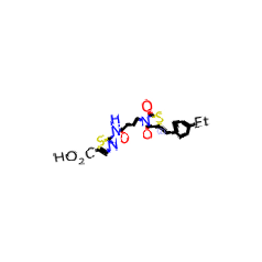 CCc1ccc(/C=C2\SC(=O)N(CCCC(=O)Nc3ncc(C(=O)O)s3)C2=O)cc1